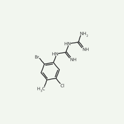 Cc1cc(Br)c(NC(=N)NC(=N)N)cc1Cl